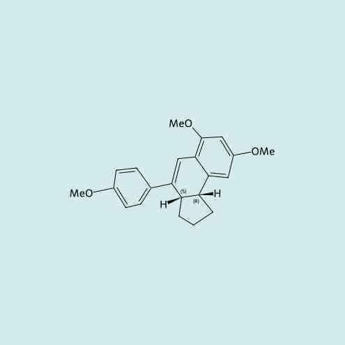 COc1ccc(C2=Cc3c(OC)cc(OC)cc3[C@@H]3CCC[C@H]23)cc1